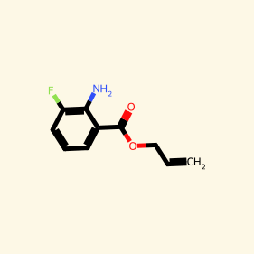 C=CCOC(=O)c1cccc(F)c1N